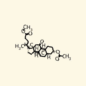 COC(=O)CC[C@@H](C)[C@H]1CC[C@H]2[C@@H]3CC[C@@H]4C[C@@H](OC(C)=O)CC[C@]4(C)[C@H]3C(=O)C[C@]12C